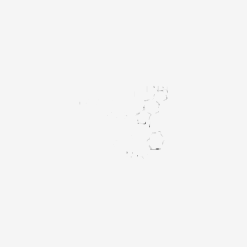 COc1cc(-n2c(C3CCOCC3)c([C@H]3CCC(C(=O)O)OC3)c3c(F)c4[nH]ncc4cc32)ccc1F